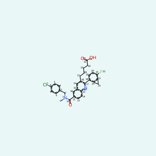 CN(Cc1ccc(Cl)cc1)C(=O)c1ccc2nc(-c3ccc(F)c4c3C4)c(CCCCC(=O)O)cc2c1